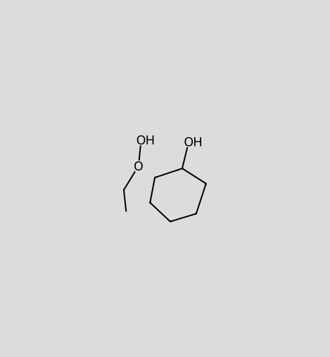 CCOO.OC1CCCCC1